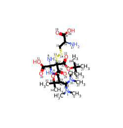 CN(C)C(CCN[C@@](N)(C(=O)O)C(SSC[C@H](N)C(=O)O)(C(=O)OC(C)(C)C)C(=O)OC(C)(C)C)N(C)C